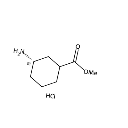 COC(=O)C1CCC[C@H](N)C1.Cl